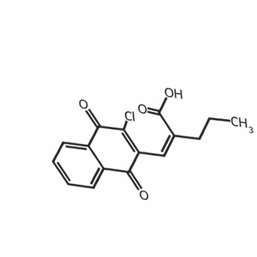 CCC/C(=C/C1=C(Cl)C(=O)c2ccccc2C1=O)C(=O)O